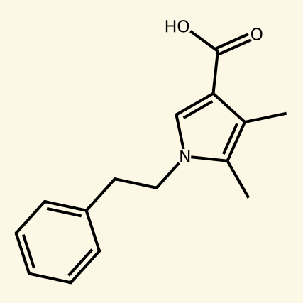 Cc1c(C(=O)O)cn(CCc2ccccc2)c1C